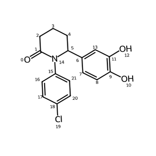 O=C1CCCC(c2ccc(O)c(O)c2)N1c1ccc(Cl)cc1